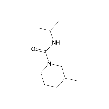 CC1CCCN(C(=O)NC(C)C)C1